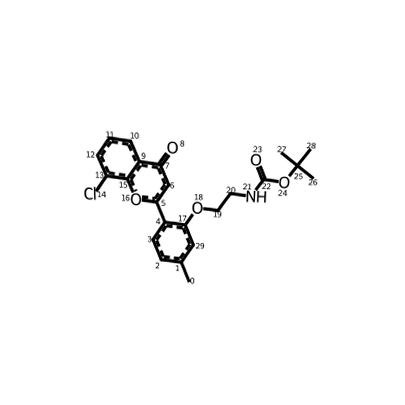 Cc1ccc(-c2cc(=O)c3cccc(Cl)c3o2)c(OCCNC(=O)OC(C)(C)C)c1